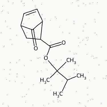 CC(C)C(C)(C)OC(=O)C1CC2C=CC1C2=O